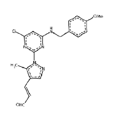 COc1ccc(CNc2cc(Cl)nc(-n3ncc(/C=C/C=O)c3C)n2)cc1